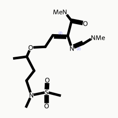 CN/C=N\C(=C/COC(C)CCN(C)S(C)(=O)=O)C(=O)NC